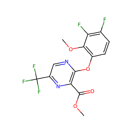 COC(=O)c1nc(C(F)(F)F)cnc1Oc1ccc(F)c(F)c1OC